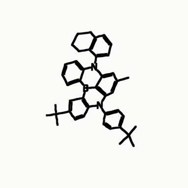 Cc1cc2c3c(c1)N(c1cccc4c1CCCC4)c1ccccc1B3c1cc(C(C)(C)C)ccc1N2c1ccc(C(C)(C)C)cc1